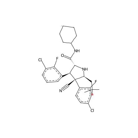 CC(C)(C)C[C@@H]1N[C@@H](C(=O)NC2CC[CH]CC2)[C@H](c2cccc(Cl)c2F)[C@@]1(C#N)c1ccc(Cl)cc1F